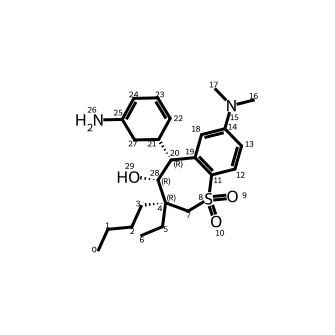 CCCC[C@@]1(CC)CS(=O)(=O)c2ccc(N(C)C)cc2[C@@H](C2C=CC=C(N)C2)[C@H]1O